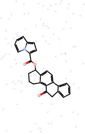 O=C1Cc2ccccc2-c2ccc3c(c21)CCCC3OC(=O)c1ccc2ccccn12